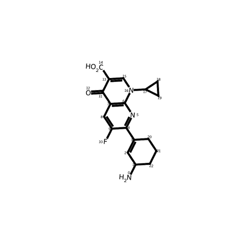 NC1C=C(c2nc3c(cc2F)c(=O)c(C(=O)O)cn3C2CC2)CCC1